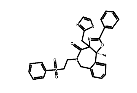 O=C1N(CCS(=O)(=O)c2ccccc2)Cc2ccccc2[C@@H]2OC(c3ccccc3)=NC12Cc1nccs1